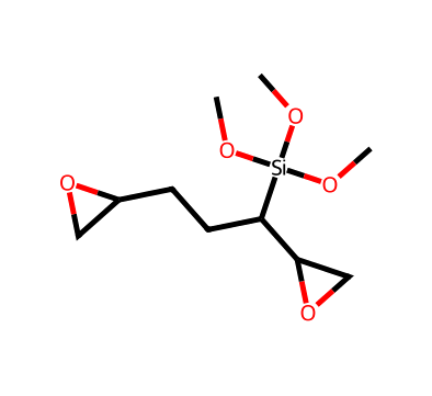 CO[Si](OC)(OC)C(CCC1CO1)C1CO1